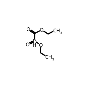 CCOC(=O)[PH](=O)OCC